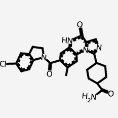 Cc1cc2c(cc1C(=O)N1CCc3cc(Cl)ccc31)[nH]c(=O)c1cnc(C3CCC(C(N)=O)CC3)n12